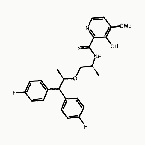 COc1ccnc(C(=S)N[C@@H](C)CO[C@H](C)C(c2ccc(F)cc2)c2ccc(F)cc2)c1O